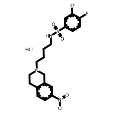 Cl.O=[N+]([O-])c1ccc2c(c1)CN(CCCCNS(=O)(=O)c1ccc(F)c(Cl)c1)CC2